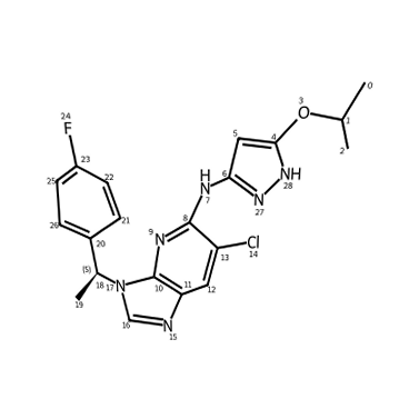 CC(C)Oc1cc(Nc2nc3c(cc2Cl)ncn3[C@@H](C)c2ccc(F)cc2)n[nH]1